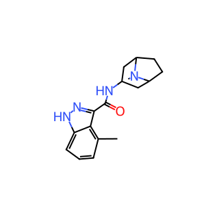 Cc1cccc2[nH]nc(C(=O)NC3CC4CCC(C3)N4C)c12